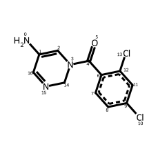 NC1=CN(C(=O)c2ccc(Cl)cc2Cl)CN=C1